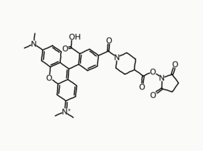 CN(C)c1ccc2c(-c3ccc(C(=O)N4CCC(C(=O)ON5C(=O)CCC5=O)CC4)cc3C(=O)O)c3ccc(=[N+](C)C)cc-3oc2c1